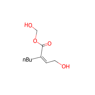 CCCCC(=CCO)C(=O)OCO